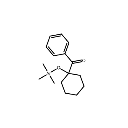 C[Si](C)(C)OC1(C(=O)c2ccccc2)CCCCC1